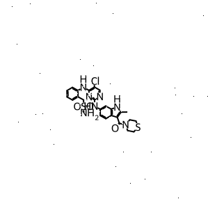 Cc1[nH]c2cc(Nc3ncc(Cl)c(Nc4ccccc4CS(N)(=O)=O)n3)ccc2c1C(=O)N1CCSCC1